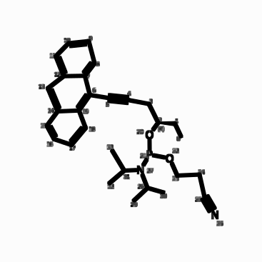 CC[C@H](CC#Cc1c2ccccc2cc2ccccc12)OP(OCCC#N)N(C(C)C)C(C)C